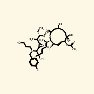 CC[C@H](OC)C(C)C1OC1C(N(CCCO)Cc1ccc(Cl)cc1)C(C)(O)/C=C/C=C(\C)[C@H]1OC(=O)CC(O)CCC(C)(O)[C@@H](OC(C)=O)/C=C/C1C